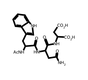 CC(=O)NC(Cc1c[nH]c2ccccc12)C(=O)NC(CC(N)=O)C(=O)NC(CC(=O)O)C(=O)O